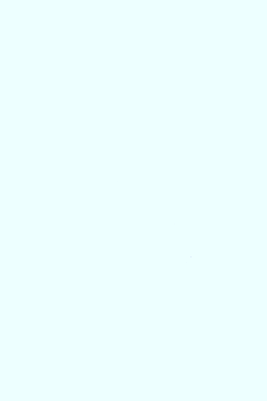 Cc1ccc(Cl)c(C(C)C)c1C